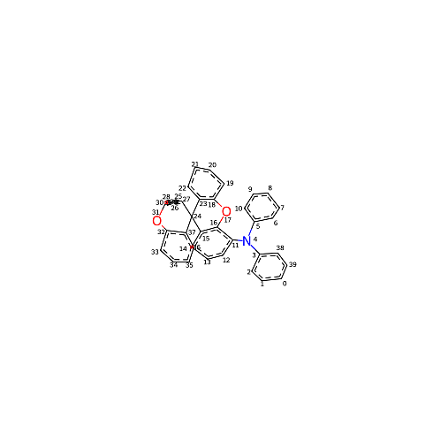 c1ccc(N(c2ccccc2)c2cccc3c2Oc2ccccc2C32c3ccccc3Oc3ccccc32)cc1